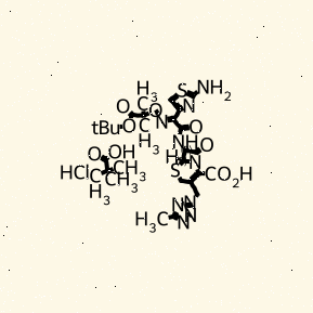 CC(C)(C)C(=O)O.Cc1nnn(CC2=C(C(=O)O)N3C(=O)[C@@H](NC(=O)C(=NOC(C)(C)C(=O)OC(C)(C)C)c4csc(N)n4)[C@H]3SC2)n1.Cl